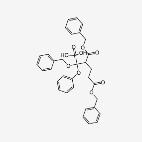 O=C(CCC(C(=O)OCc1ccccc1)C(OCc1ccccc1)(Oc1ccccc1)P(=O)(O)O)OCc1ccccc1